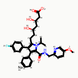 COc1ccc(CNC(=O)c2c(-c3ccccc3)c(-c3ccc(F)cc3)c(CC[C@@H](O)C[C@@H](O)CC(=O)[O-])n2C(C)C)nc1.[Na+]